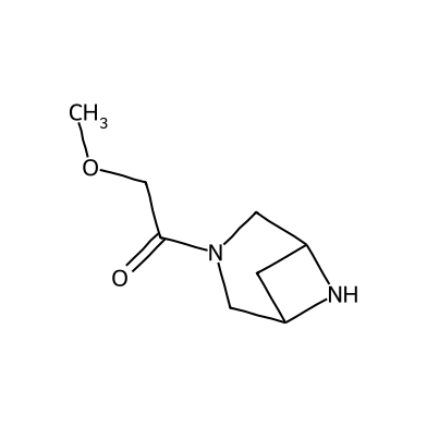 COCC(=O)N1CC2CC(C1)N2